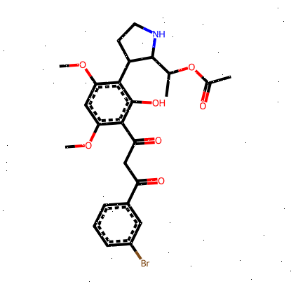 COc1cc(OC)c(C2CCNC2C(C)OC(C)=O)c(O)c1C(=O)CC(=O)c1cccc(Br)c1